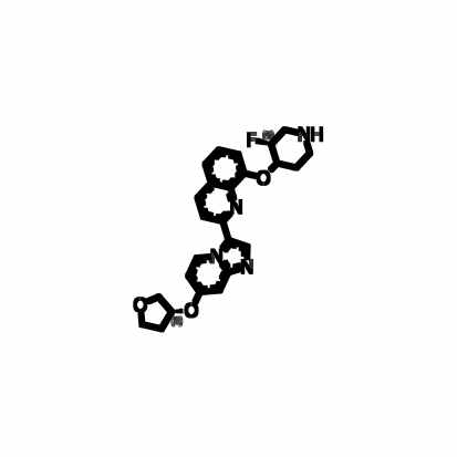 F[C@H]1CNCCC1Oc1cccc2ccc(-c3cnc4cc(O[C@@H]5CCOC5)ccn34)nc12